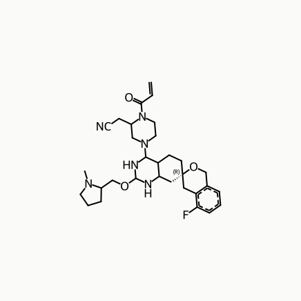 C=CC(=O)N1CCN(C2NC(OCC3CCCN3C)NC3C[C@@]4(CCC32)Cc2c(F)cccc2CO4)CC1CC#N